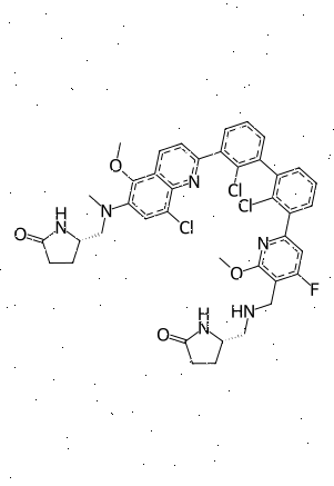 COc1nc(-c2cccc(-c3cccc(-c4ccc5c(OC)c(N(C)C[C@@H]6CCC(=O)N6)cc(Cl)c5n4)c3Cl)c2Cl)cc(F)c1CNC[C@@H]1CCC(=O)N1